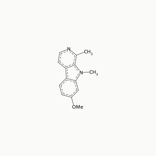 COc1ccc2c3ccnc(C)c3n(C)c2c1